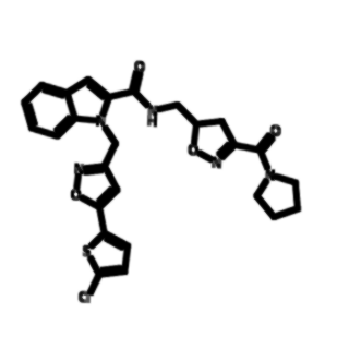 O=C(NCC1CC(C(=O)N2CCCC2)=NO1)c1cc2ccccc2n1Cc1cc(-c2ccc(Cl)s2)on1